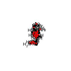 CC[C@H](C)[C@H](NC(=O)CBr)C(=O)N[C@@H](CS)C(=O)N[C@@H](CO)C(=O)N[C@@H](CCCNC(=N)N)C(=O)N[C@@H](CO)C(=O)N[C@@H](CC(C)(C)C)C(=O)N1CCC[C@H]1C(=O)N1CCC[C@H]1C(=O)N[C@H](C(=O)N[C@H](C(=O)N[C@H](C(=O)N1CCC[C@H]1C(=O)N[C@@H](CC(N)=O)C(=O)O)[C@@H](C)CC)C(C)(C)S)[C@@H](C)CC